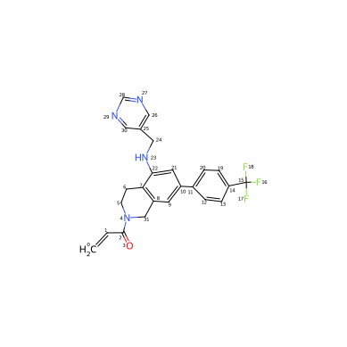 C=CC(=O)N1CCc2c(cc(-c3ccc(C(F)(F)F)cc3)cc2NCc2cncnc2)C1